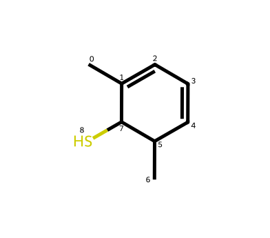 CC1=CC=CC(C)C1S